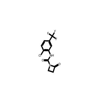 O=C1CCN1C(=O)Nc1cc(C(F)(F)F)ccc1Cl